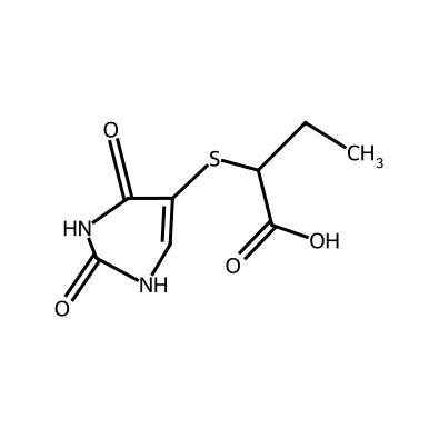 CCC(Sc1c[nH]c(=O)[nH]c1=O)C(=O)O